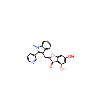 Cn1c(-c2cccnc2)c(C=C2Oc3cc(O)cc(O)c3C2=O)c2ccccc21